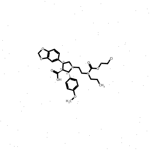 CCCN(CCN1C[C@H](c2ccc3c(c2)OCO3)[C@H](C(=O)O)[C@H]1c1ccc(OC)cc1)C(=O)OCCCl